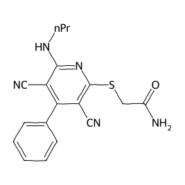 CCCNc1nc(SCC(N)=O)c(C#N)c(-c2ccccc2)c1C#N